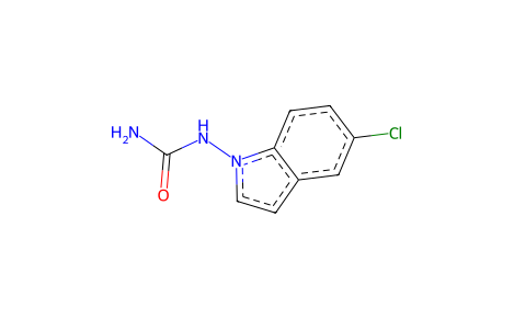 NC(=O)Nn1ccc2cc(Cl)ccc21